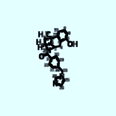 CC1(C)C2Cc3c(O)cccc3[C@]1(C)CCN2C(=O)c1ccc(Cn2ccnc2)cc1